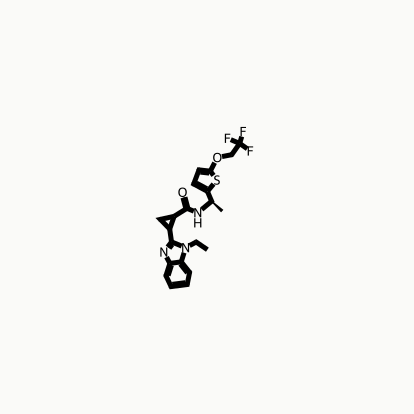 CCn1c(C2CC2C(=O)N[C@H](C)c2ccc(OCC(F)(F)F)s2)nc2ccccc21